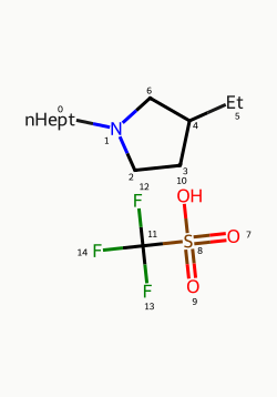 CCCCCCCN1CCC(CC)C1.O=S(=O)(O)C(F)(F)F